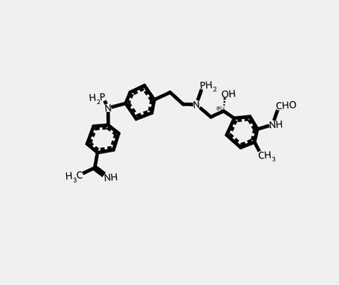 CC(=N)c1ccc(N(P)c2ccc(CCN(P)C[C@H](O)c3ccc(C)c(NC=O)c3)cc2)cc1